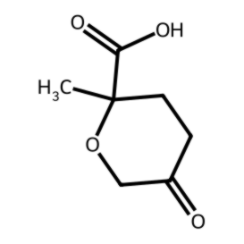 CC1(C(=O)O)CCC(=O)CO1